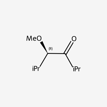 CO[C@@H](C(=O)C(C)C)C(C)C